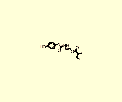 CCC(C)C(=O)OCCNC(=O)Nc1ccc(O)cc1